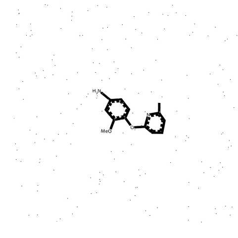 COc1cc(N)ccc1Oc1cccc(C)n1